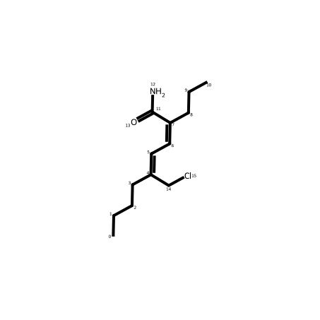 CCCCC(=CC=C(CCC)C(N)=O)CCl